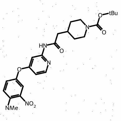 CNc1ccc(Oc2ccnc(NC(=O)CC3CCN(C(=O)OC(C)(C)C)CC3)c2)cc1[N+](=O)[O-]